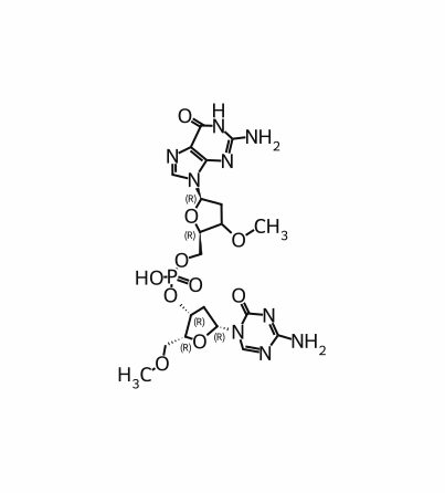 COC[C@H]1O[C@@H](n2cnc(N)nc2=O)C[C@H]1OP(=O)(O)OC[C@H]1O[C@@H](n2cnc3c(=O)[nH]c(N)nc32)CC1OC